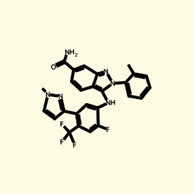 Cc1ccccc1-n1nc2cc(C(N)=O)ccc2c1Nc1cc(-c2ccn(C)n2)c(C(F)(F)F)cc1F